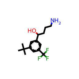 CC(C)(C)c1cc(C(O)CCCN)cc(C(F)(F)F)c1